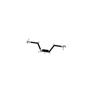 CCCC/[C]=N\CC(C)C